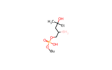 BC(COP(=O)(O)OC(C)CC)CC(C)(O)CC